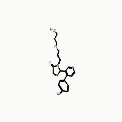 CCCCOCCCN1C(=O)CSC1c1cnccc1-c1ccc(Br)cc1